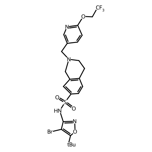 CC(C)(C)c1onc(NS(=O)(=O)c2ccc3c(c2)CN(Cc2ccc(OCC(F)(F)F)nc2)CC3)c1Br